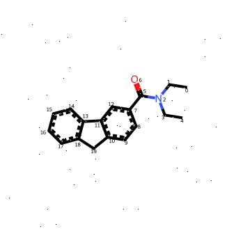 CCN(CC)C(=O)c1ccc2c(c1)-c1ccccc1C2